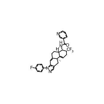 C[C@]12Cc3cnn(-c4ccc(F)cc4)c3C=C1CC[C@H]1C2=CC[C@@H](C(F)(F)F)[C@@H]1NC(=O)c1cccnc1